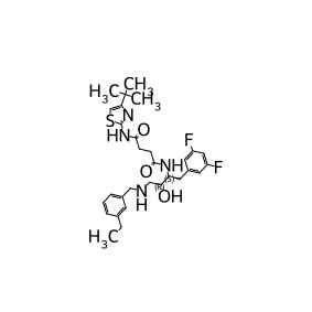 CCc1cccc(CNC[C@@H](O)[C@H](Cc2cc(F)cc(F)c2)NC(=O)CCC(=O)Nc2nc(C(C)(C)C)cs2)c1